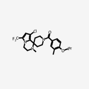 Cc1cc(C(=O)N2CCC3(CC2)c2c(Cl)cc(C(F)(F)F)n2CCN3C)ccc1OC(C)C